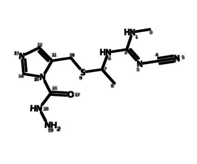 CNC(=NC#N)NC(C)SCc1cncn1C(=O)NN